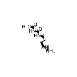 CC(=O)NC(=O)N/C=N\C=C/NN